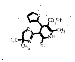 CCOC(=O)C1=C(C)NC(CC)=C(C2=NC(C)(C)CO2)C1c1ccco1